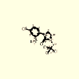 Cc1cc(Cl)ccc1-n1cnn(SC(Cl)(Cl)Cl)c1=O